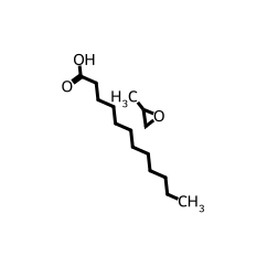 CC1CO1.CCCCCCCCCCCC(=O)O